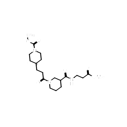 COC(=O)CCNC(=O)C1CCCN(C(=O)CCC2CCN(C(=O)OC(C)(C)C)CC2)C1